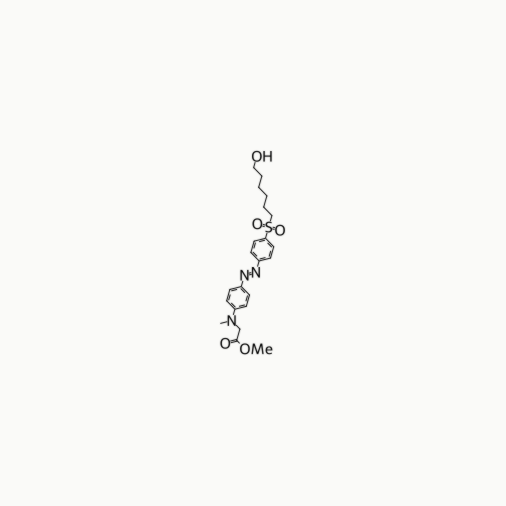 COC(=O)CN(C)c1ccc(/N=N/c2ccc(S(=O)(=O)CCCCCCO)cc2)cc1